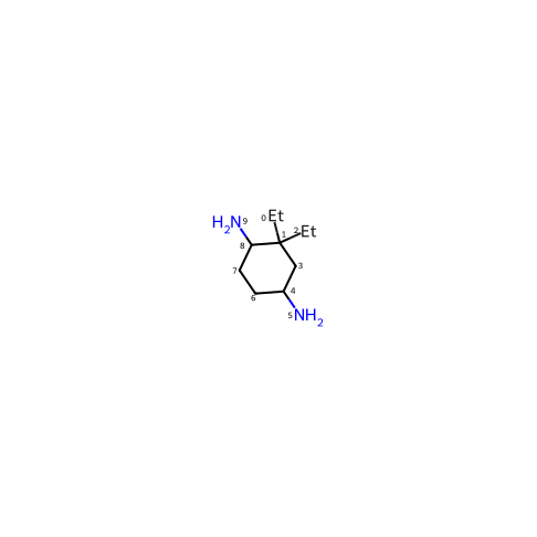 CCC1(CC)CC(N)CCC1N